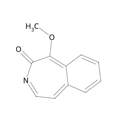 COc1c(=O)nccc2ccccc12